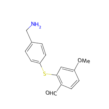 COc1ccc(C=O)c(Sc2ccc(CN)cc2)c1